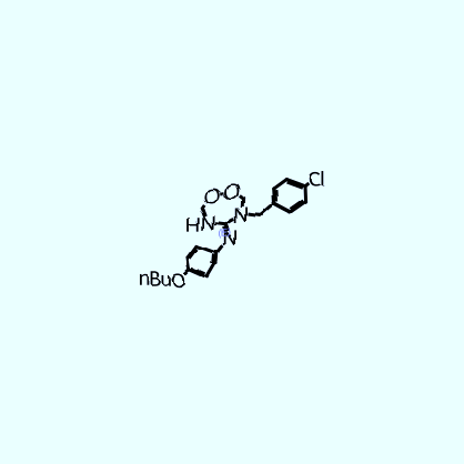 CCCCOc1ccc(/N=C2\NCOOCN2Cc2ccc(Cl)cc2)cc1